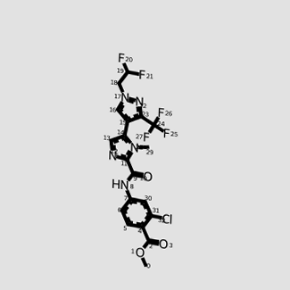 COC(=O)c1ccc(NC(=O)c2ncc(-c3cn(CC(F)F)nc3C(F)(F)F)n2C)cc1Cl